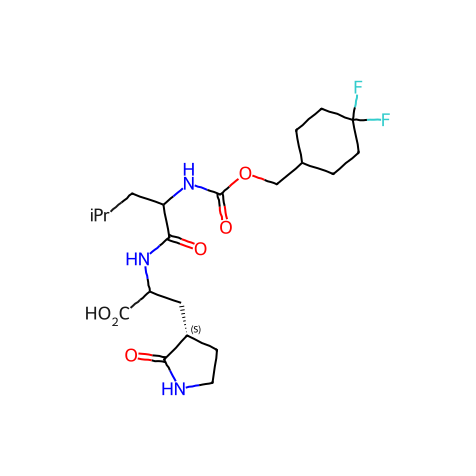 CC(C)CC(NC(=O)OCC1CCC(F)(F)CC1)C(=O)NC(C[C@@H]1CCNC1=O)C(=O)O